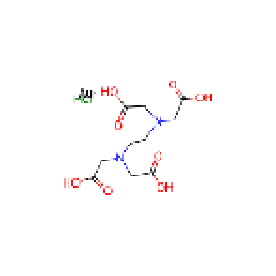 Cl.O=C(O)CN(CCN(CC(=O)O)CC(=O)O)CC(=O)O.[Au]